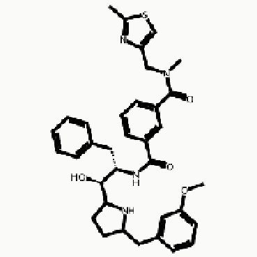 COc1cccc(CC2CCC([C@@H](O)[C@H](Cc3ccccc3)NC(=O)c3cccc(C(=O)N(C)Cc4csc(C)n4)c3)N2)c1